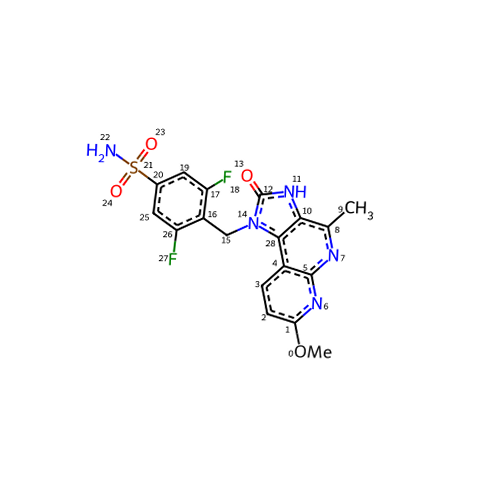 COc1ccc2c(n1)nc(C)c1[nH]c(=O)n(Cc3c(F)cc(S(N)(=O)=O)cc3F)c12